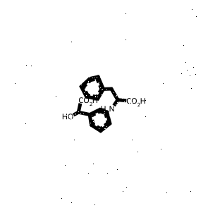 NC(Cc1ccccc1)C(=O)O.O=C(O)C(O)c1ccccc1